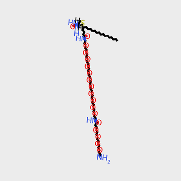 CCCCCCCCCCCCCCCCC(CCCC(=O)NCCOCCOCCOCCOCCOCCOCCOCCOCCOCCOCCOCCNC(=O)CCOCCOCCOCCOCCN)[C@@H]1SC[C@@H]2NC(=O)N[C@@H]21